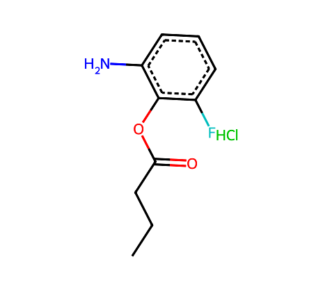 CCCC(=O)Oc1c(N)cccc1F.Cl